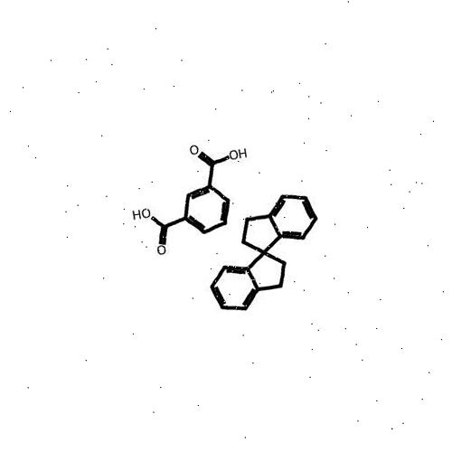 O=C(O)c1cccc(C(=O)O)c1.c1ccc2c(c1)CCC21CCc2ccccc21